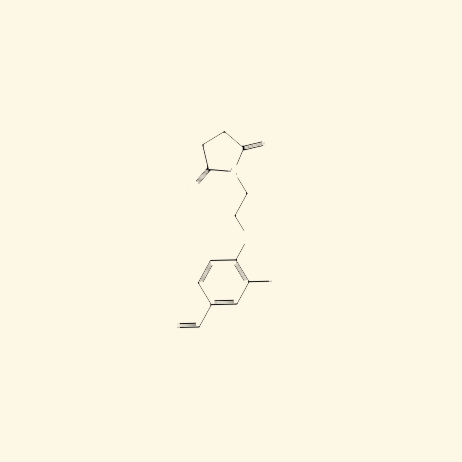 Cc1cc(C=O)ccc1OCCN1C(=O)CCC1=O